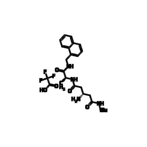 C[C@H](NC(=O)C[C@@H](N)CC(=O)NC(C)(C)C)C(=O)NCc1cccc2ccccc12.O=C(O)C(F)(F)F